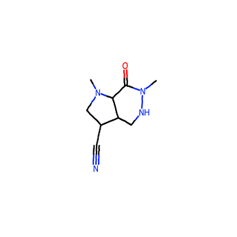 CN1NCC2C(C#N)CN(C)C2C1=O